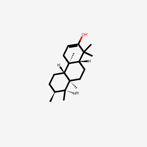 CCC[C@]1(C)[C@@H](C)CC[C@@H]2[C@@]3(C)CC=C(O)C(C)(C)[C@@H]3CC[C@]21C